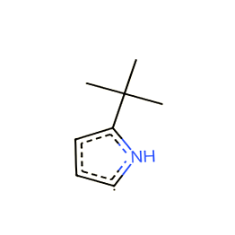 CC(C)(C)c1cc[c][nH]1